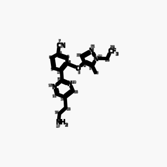 Cc1c(Oc2cc(C#N)ccc2-c2ncc(CCN)cn2)cnn1CC(F)(F)F